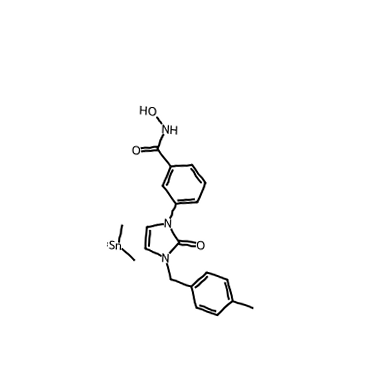 Cc1ccc(Cn2ccn(-c3cccc(C(=O)NO)c3)c2=O)cc1.[CH3][Sn][CH3]